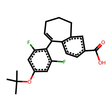 CC(C)(C)Oc1cc(F)c(C2=CCCCc3cc(C(=O)O)ccc32)c(F)c1